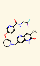 Cc1cc2ncc(CN3C=C(Oc4ccc(C(=O)NCC(F)I)nc4)CCC3)cc2[nH]c1=O